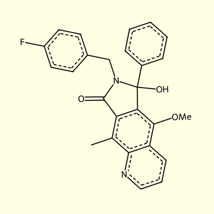 COc1c2c(c(C)c3ncccc13)C(=O)N(Cc1ccc(F)cc1)C2(O)c1ccccc1